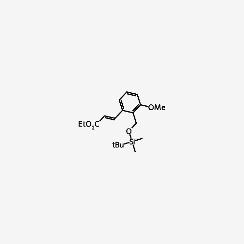 CCOC(=O)/C=C/c1cccc(OC)c1CO[Si](C)(C)C(C)(C)C